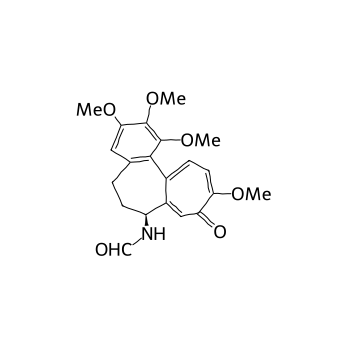 COc1cc2c(c(OC)c1OC)-c1ccc(OC)c(=O)cc1[C@@H](NC=O)CC2